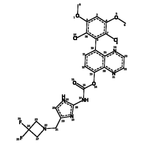 COc1cc(OC)c(Cl)c(-c2ccc(OC(=O)Nc3nc(CN4CC(F)(F)C4)c[nH]3)c3nccnc23)c1Cl